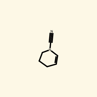 N#CN1C=CCCC1